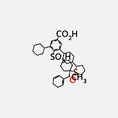 CS1(C2(C(=O)C3=CCCC=C3)CCCCC2)CCCC1C1CCC(c2cc(C(=O)O)cc(C3CCCCC3)c2S(=O)(=O)O)CC1